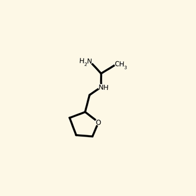 CC(N)NCC1CCCO1